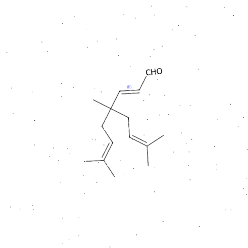 CC(C)=CCC(C)(/C=C/C=O)CC=C(C)C